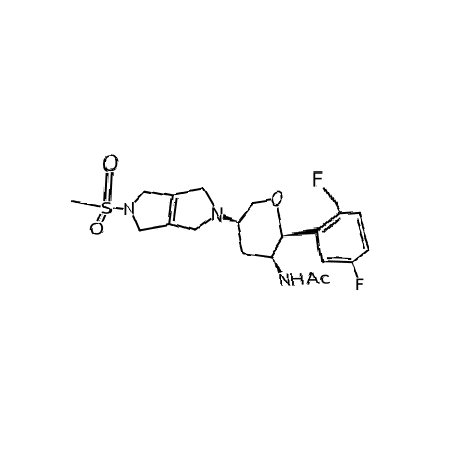 CC(=O)N[C@H]1C[C@@H](N2CC3=C(C2)CN(S(C)(=O)=O)C3)CO[C@H]1c1cc(F)ccc1F